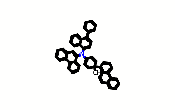 CC1(c2cccc3c2ccc2ccccc23)C=CC(N(c2ccc(-c3ccccc3)c3ccccc23)c2cc3ccccc3c3ccccc23)=CC1